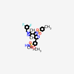 CNS(=O)(=O)c1cc(-c2cnc3c(c2)c(-c2c(C)nn(Cc4cc(F)cc(F)c4)c2C)cn3S(=O)(=O)c2ccc(C)cc2)ccc1OC